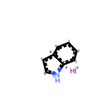 I.c1ccc2[nH]ccc2c1